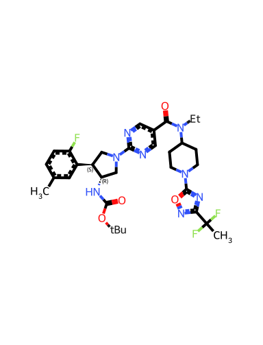 CCN(C(=O)c1cnc(N2C[C@H](NC(=O)OC(C)(C)C)[C@@H](c3cc(C)ccc3F)C2)nc1)C1CCN(c2nc(C(C)(F)F)no2)CC1